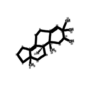 C[C@@]12CCCC1=C1CCC3=CC(O)(O)C(O)C[C@]3(C)[C@H]1CC2